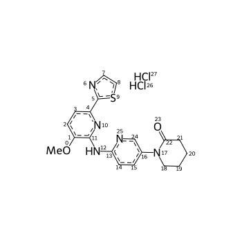 COc1ccc(-c2nccs2)nc1Nc1ccc(N2CCCCC2=O)cn1.Cl.Cl